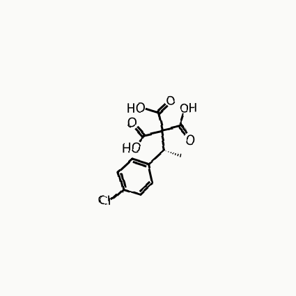 C[C@H](c1ccc(Cl)cc1)C(C(=O)O)(C(=O)O)C(=O)O